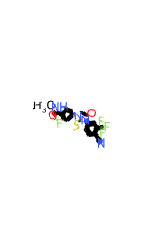 CNC(=O)c1ccc(N2CC(=O)N(c3ccc(C#N)c(C(F)(F)F)c3)C2=S)cc1F